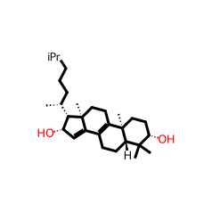 CC(C)CCC[C@@H](C)[C@H]1[C@@H](O)C=C2C3=C(CC[C@@]21C)[C@@]1(C)CC[C@H](O)C(C)(C)[C@@H]1CC3